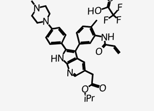 C=CC(=O)Nc1cc(-c2c(-c3ccc(N4CCN(C)CC4)cc3)[nH]c3ncc(CC(=O)OC(C)C)cc23)ccc1C.O=C(O)C(F)(F)F